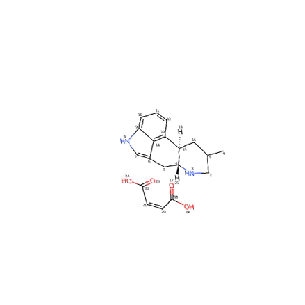 CC1CN[C@@H]2Cc3c[nH]c4cccc(c34)[C@H]2C1.O=C(O)/C=C\C(=O)O